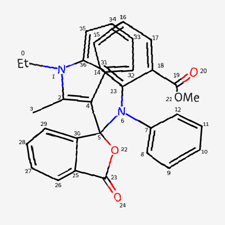 CCn1c(C)c(C2(N(c3ccccc3)c3ccccc3C(=O)OC)OC(=O)c3ccccc32)c2ccccc21